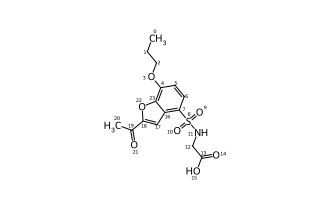 CCCOc1ccc(S(=O)(=O)NCC(=O)O)c2cc(C(C)=O)oc12